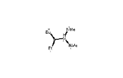 CCC(C)C(CC)[SiH](NC)NC